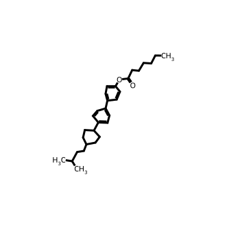 CCCCCCC(=O)Oc1ccc(-c2ccc(C3CCC(CCC(C)C)CC3)cc2)cc1